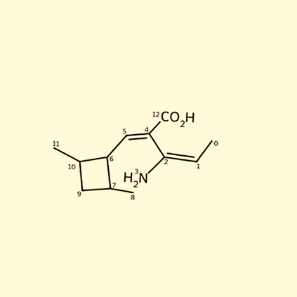 C/C=C(N)\C(=C/C1C(C)CC1C)C(=O)O